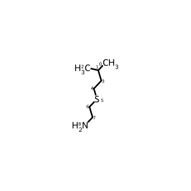 CC(C)CCSCCN